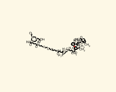 COc1cccc(OC)c1-c1cc(C(=O)NC2(C(=O)O)CCC3CC(C)CC2C3)nn1-c1ccc(C(=O)N(C)CCCN(C)CCCN(C)C(=O)CCC(=O)NCCCOCCOCCOCCCNC(=O)CCC(C(=O)O)N2CCN(CC=O)CCN(CC(=O)O)CC2)cc1C(C)C